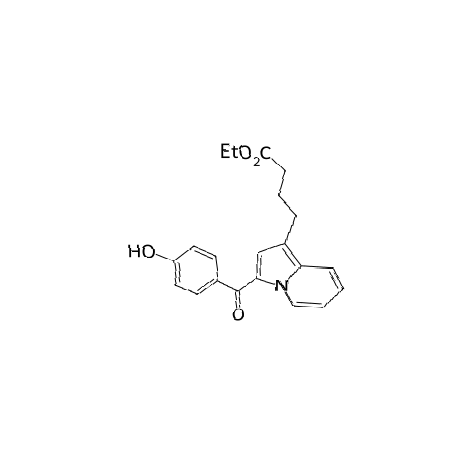 CCOC(=O)CCCc1cc(C(=O)c2ccc(O)cc2)n2ccccc12